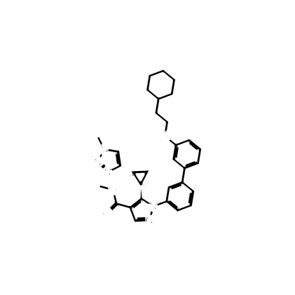 COC(=O)c1cnn(-c2cccc(-c3cccc(OCCC4CCCCC4)c3)c2)c1[C@@H]1C[C@H]1c1cn(C)nn1